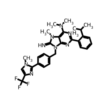 CC(C)c1ccccc1-c1nc(N(C)C)c2c(n1)n(Cc1ccc(-c3nc(C(F)(F)F)cn3C)cc1)c(=N)n2C